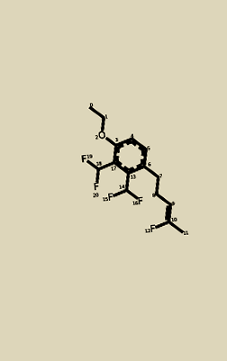 CCOc1ccc(CC/C=C(/C)F)c(C(F)F)c1C(F)F